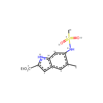 CCOC(=O)c1cc2cc(C)c(NS(C)(=O)=O)cc2[nH]1